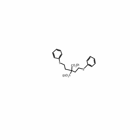 CCOC(=O)C(CCSc1ccccc1)(CCSc1ccccc1)C(=O)OCC